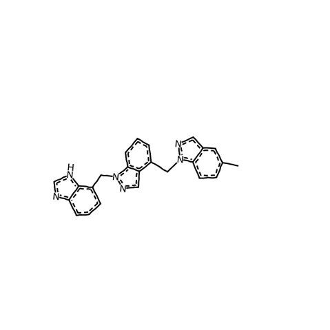 Cc1ccc2c(cnn2Cc2cccc3c2cnn3Cc2cccc3nc[nH]c23)c1